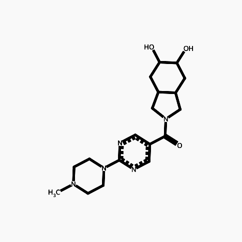 CN1CCN(c2ncc(C(=O)N3CC4CC(O)C(O)CC4C3)cn2)CC1